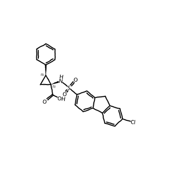 O=C(O)[C@]1(NS(=O)(=O)c2ccc3c(c2)Cc2cc(Cl)ccc2-3)C[C@H]1c1ccccc1